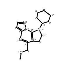 COCc1nc2ccnn2c2c1CCN2C1CCCCC1